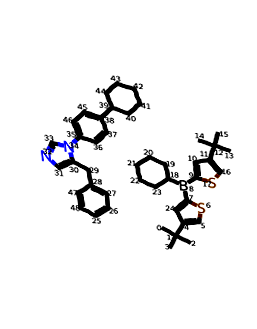 CC(C)(C)c1csc(B(c2cc(C(C)(C)C)cs2)C2CCCCC2)c1.c1ccc(Cc2cncn2-c2ccc(C3CCCCC3)cc2)cc1